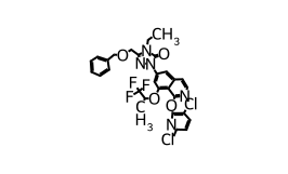 CCn1c(COCc2ccccc2)nn(-c2cc(OC(C)C(F)(F)F)c3c(Oc4nc(Cl)ccc4Cl)nccc3c2)c1=O